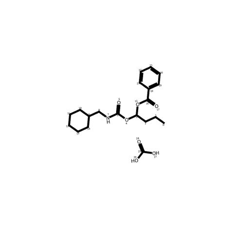 CCCC(OC(=O)NCC1CCCCC1)OC(=O)c1ccccc1.O=C(O)O